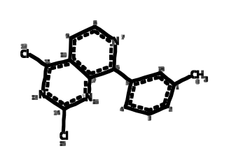 Cc1cccc(-c2nccc3c(Cl)nc(Cl)nc23)c1